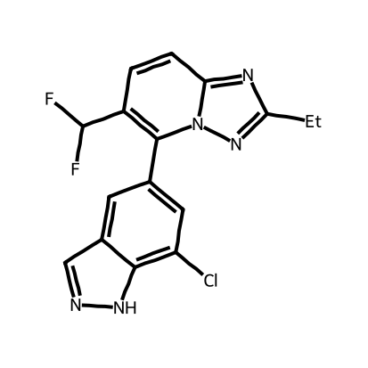 CCc1nc2ccc(C(F)F)c(-c3cc(Cl)c4[nH]ncc4c3)n2n1